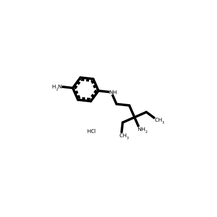 CCC(N)(CC)CCNc1ccc(N)cc1.Cl